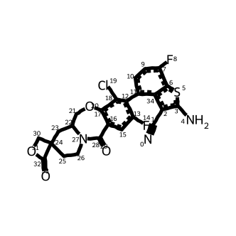 N#Cc1c(N)sc2c(F)ccc(-c3c(F)cc4c(c3Cl)OCC3CC5(CCN3C4=O)COC5=O)c12